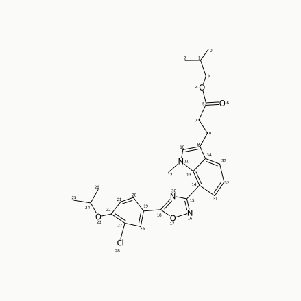 CC(C)COC(=O)CCc1cn(C)c2c(-c3noc(-c4ccc(OC(C)C)c(Cl)c4)n3)cccc12